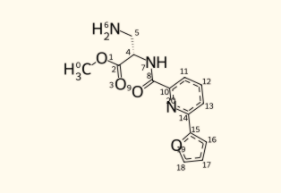 COC(=O)[C@H](CN)NC(=O)c1cccc(-c2ccco2)n1